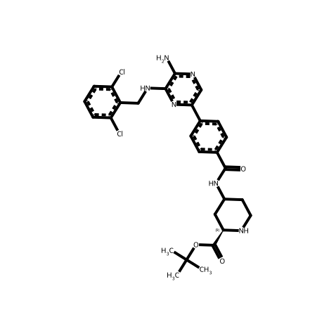 CC(C)(C)OC(=O)[C@H]1CC(NC(=O)c2ccc(-c3cnc(N)c(NCc4c(Cl)cccc4Cl)n3)cc2)CCN1